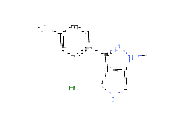 Cl.Cn1nc(-c2ccc(C(F)(F)F)cc2)c2c1CNC2